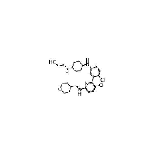 OCCNC1CCC(Nc2cc(-c3nc(NCC4CCOCC4)ccc3Cl)c(Cl)cn2)CC1